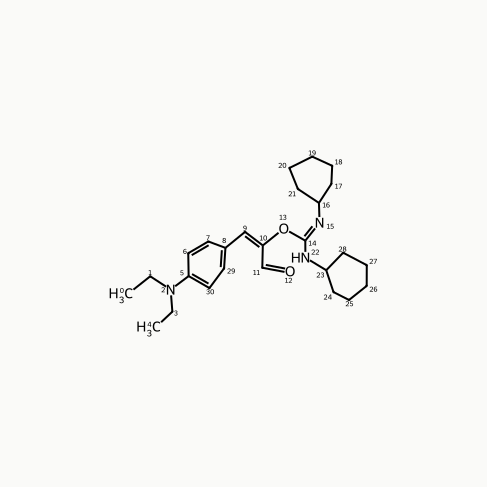 CCN(CC)c1ccc(/C=C(\C=O)O/C(=N\C2CCCCC2)NC2CCCCC2)cc1